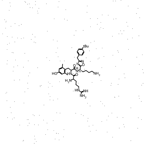 Cc1cc(O)cc(C)c1CC(NC(=O)C(N)CCCNC(=N)N)C(=O)N[C@H](CCCCN)c1nc(Cc2ccc(C(C)(C)C)cc2)no1